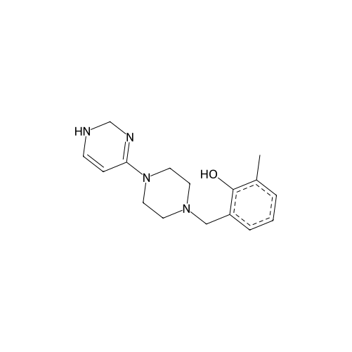 Cc1cccc(CN2CCN(C3=NCNC=C3)CC2)c1O